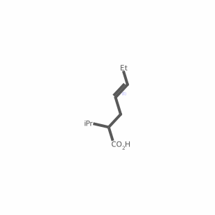 CC/C=C/CC(C(=O)O)C(C)C